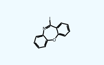 IC1=Nc2ccccc2Oc2ccccc21